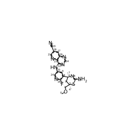 COC[C@@]1(C)C[C@@](C)(c2cc(Nc3ncnc4cc(C#N)cnc34)cnc2F)N=C(N)S1